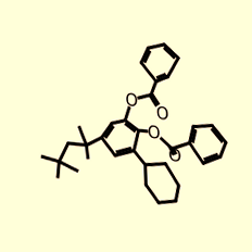 CC(C)(C)CC(C)(C)c1cc(OC(=O)c2ccccc2)c(OC(=O)c2ccccc2)c(C2CCCCC2)c1